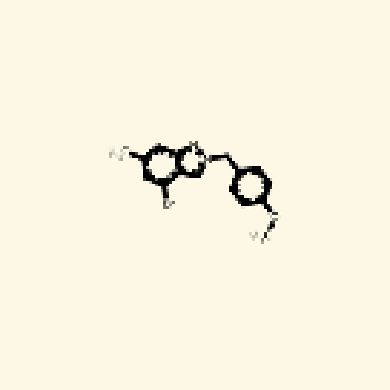 COc1ccc(Cn2cc3c(Br)cc(C)cc3n2)cc1